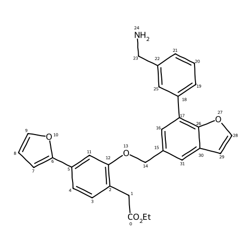 CCOC(=O)Cc1ccc(-c2ccco2)cc1OCc1cc(-c2cccc(CN)c2)c2occc2c1